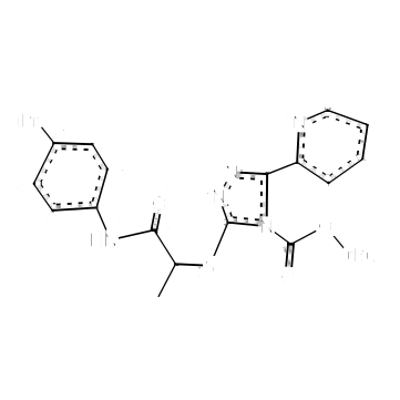 CC(Sc1nnc(-c2ccccn2)n1C(=O)OC(C)(C)C)C(=O)Nc1ccc(C(C)C)cc1